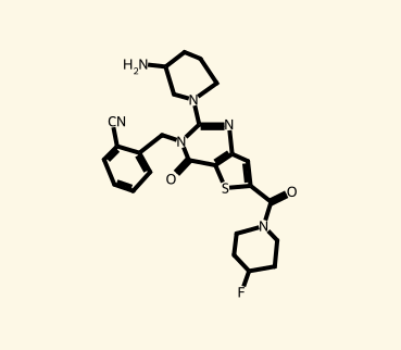 N#Cc1ccccc1Cn1c(N2CCCC(N)C2)nc2cc(C(=O)N3CCC(F)CC3)sc2c1=O